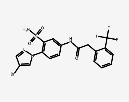 NS(=O)(=O)c1cc(NC(=O)Cc2ccccc2C(F)(F)F)ccc1-n1cc(Br)cn1